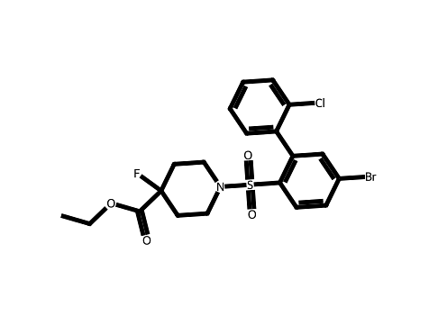 CCOC(=O)C1(F)CCN(S(=O)(=O)c2ccc(Br)cc2-c2ccccc2Cl)CC1